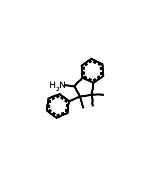 CC1(C)c2ccccc2C(N)C1(C)c1ccccc1